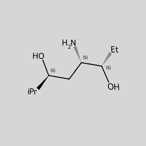 CC[C@H](O)[C@@H](N)C[C@H](O)C(C)C